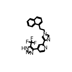 FC(F)(F)c1[nH]nnc1-c1ccnc(-c2cn(CCc3cccc4ccccc34)cn2)c1